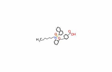 CCCCCCCN(c1ccccc1CCc1ccc(C(=O)O)cc1)S(=O)(=O)c1cccc2ccccc12